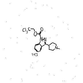 CN1CCC(c2nn(C(=O)OCC(Cl)(Cl)Cl)c3ccccc23)CC1.Cl